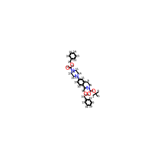 CC(C)(C)OC(=O)N1CCc2cc(N3CCN(C(=O)OCc4ccccc4)CC3)ccc2C1COCc1ccccc1